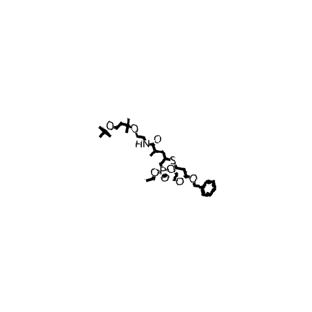 CCOP(=O)(CC(CC(C)C(=O)NCCOC(C)(C)CCOC(C)(C)C)SCCC(=O)OCc1ccccc1)OCC